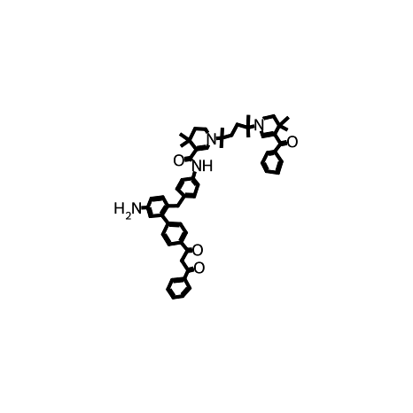 CC1(C)CCN(C(C)(C)CCC(C)(C)N2C=C(C(=O)c3ccccc3)C(C)(C)CC2)C=C1C(=O)Nc1ccc(Cc2ccc(N)cc2-c2ccc(C(=O)CC(=O)c3ccccc3)cc2)cc1